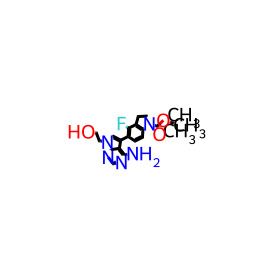 CC(C)(C)OC(=O)N1CCc2c1ccc(-c1cn(CCO)c3ncnc(N)c13)c2F